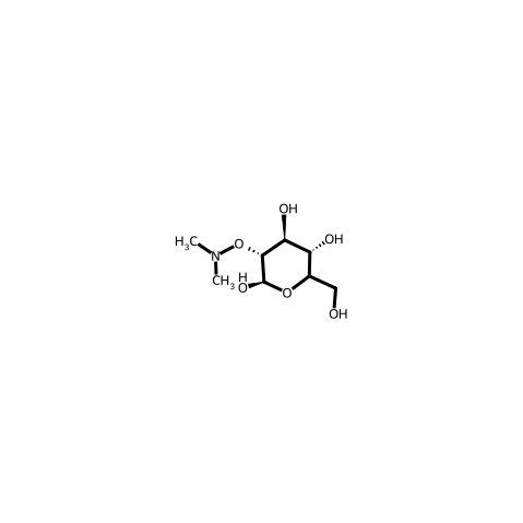 CN(C)O[C@@H]1[C@@H](O)[C@H](O)C(CO)O[C@H]1O